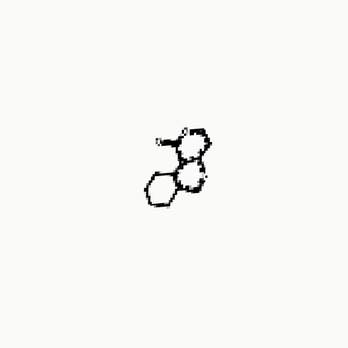 O=c1occc2ncc3c(c12)CCCC3